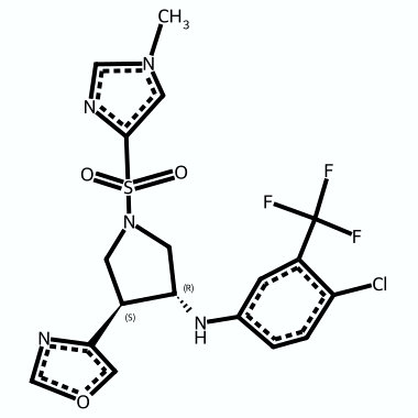 Cn1cnc(S(=O)(=O)N2C[C@H](Nc3ccc(Cl)c(C(F)(F)F)c3)[C@@H](c3cocn3)C2)c1